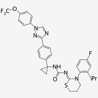 CC(C)c1cc(F)ccc1N1CCCS/C1=N\C(=O)NC1(c2ccc(-c3ncn(-c4ccc(OC(F)(F)F)cc4)n3)cc2)CC1